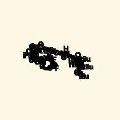 CC(C)[C@H](NC(=O)[C@@H]1CCCN1C(=O)[C@H](CC(=O)O)NC(=O)CCOCCOCCOCCNC(=O)NCCCC[C@H](NC(=O)N[C@@H](CCC(=O)OC(C)(C)C)C(=O)OC(C)(C)C)C(=O)OC(C)(C)C)C(=O)N=[S@](C)(=O)Cc1cc2nc(c1)OCCCOc1cc(F)ccc1-c1cc(ncc1F)N2